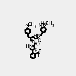 COc1ccc(CC2CC(C(=O)NCc3ccc4c(c3)nnn4C)N(C(=O)C3CC(c4ccccc4C(F)(F)F)CN3)C2)cc1